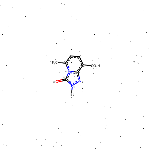 CCn1nc2c(C(=O)O)ccc(C(F)(F)F)n2c1=O